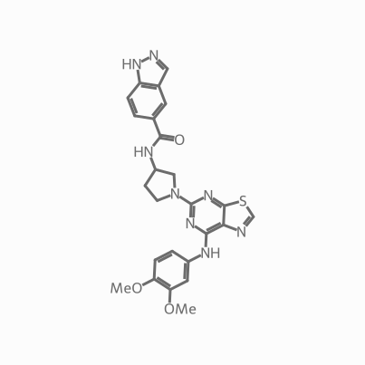 COc1ccc(Nc2nc(N3CCC(NC(=O)c4ccc5[nH]ncc5c4)C3)nc3scnc23)cc1OC